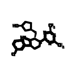 O[C@H]1CC[C@@H](C[C@H]2c3[nH]c4ccc(Cl)cc4c3CCN2c2nc(C(F)(F)F)nc(C(F)(F)F)n2)C1